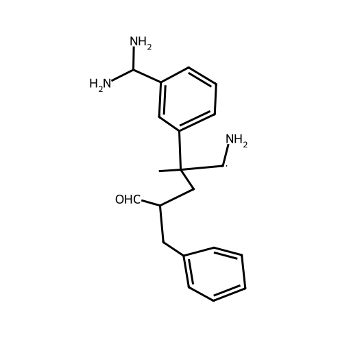 CC([CH]N)(CC(C=O)Cc1ccccc1)c1cccc(C(N)N)c1